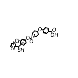 Cn1ccnc1C(S)c1ccc(OC(=O)N2CCC(Oc3ccc(C(=O)O)cc3)CC2)cc1